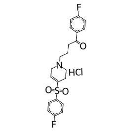 Cl.O=C(CCCN1CC=C(S(=O)(=O)c2ccc(F)cc2)CC1)c1ccc(F)cc1